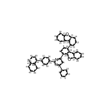 c1ccc(-c2cc(-c3ccc(-c4cccc5oc6ccccc6c45)c4c3oc3ccccc34)nc(-c3ccc(-c4ccnc5ccccc45)cc3)n2)cc1